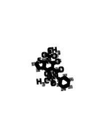 CS(=O)(=O)N(C(=O)c1c(O)c2ccsc2n(S(C)(=O)=O)c1=O)c1ccccc1